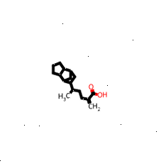 C=C(CCC(C)C1CC2CC1C1CCCC21)C(=O)O